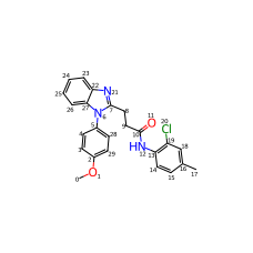 COc1ccc(-n2c(CCC(=O)Nc3ccc(C)cc3Cl)nc3ccccc32)cc1